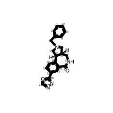 O=C1NC[C@H]2CN(Cc3ccccc3)C[C@@H]2c2ccc(-c3nnco3)cc21